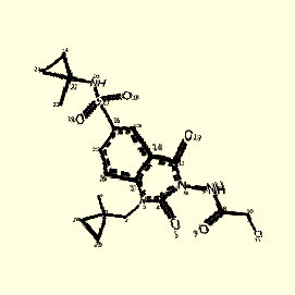 CC1(Cn2c(=O)n(NC(=O)CCl)c(=O)c3cc(S(=O)(=O)NC4(C)CC4)ccc32)CC1